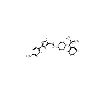 Cc1ccc(-c2noc(C=CC3CCC(C(c4ccccc4)N(C)C)CC3)n2)cc1